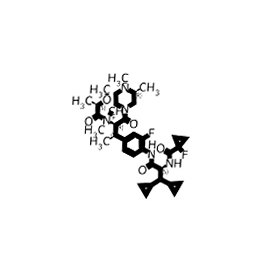 CO[C@@H](C)C(=O)[N+](C)(C)[C@@H](C(=O)N1CCN(C)[C@H](C)C1)[C@@H](C)c1ccc(NC(=O)[C@@H](NC(=O)C2(F)CC2)C(C2CC2)C2CC2)c(F)c1